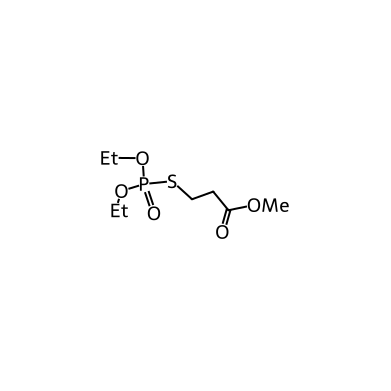 CCOP(=O)(OCC)SCCC(=O)OC